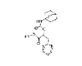 CC(C)OC(=O)C(Cc1ncccn1)OC(=O)NC12CCC(CC1)CC2